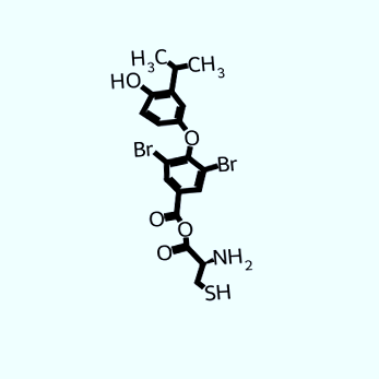 CC(C)c1cc(Oc2c(Br)cc(C(=O)OC(=O)[C@@H](N)CS)cc2Br)ccc1O